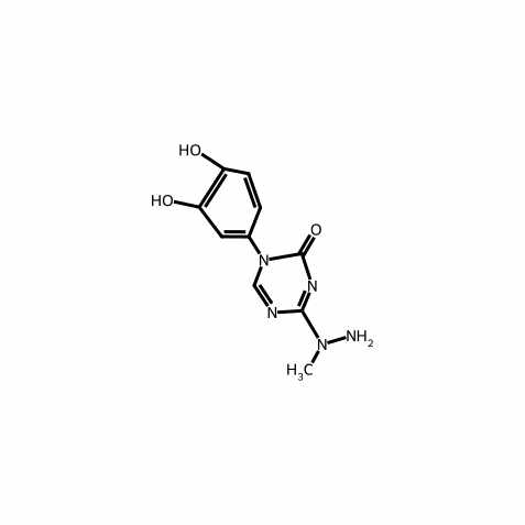 CN(N)c1ncn(-c2ccc(O)c(O)c2)c(=O)n1